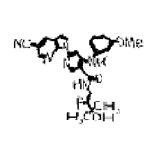 COc1cccc(Nc2cc(-n3ccc4cc(C#N)cnc43)ncc2C(=O)NCC(F)C(C)(C)O)c1